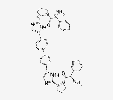 NC(C(=O)N1CCC[C@H]1c1ncc(-c2ccc(-c3ccc(-c4cnc([C@@H]5CCCN5C(=O)[C@H](N)c5ccccc5)[nH]4)cn3)cc2)[nH]1)c1ccccc1